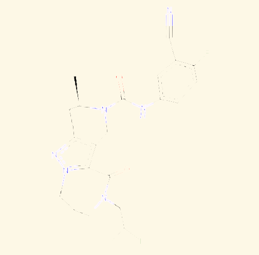 C[C@@H]1Cc2nn3c(c2CN1C(=O)Nc1ccc(F)c(C#N)c1)C(=O)N(CC(F)F)CCC3